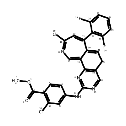 COC(=O)c1ccc(Nc2ncc3c(n2)C2=CN=C(Cl)C=C(c4c(F)cccc4F)C2=CC3)cc1Cl